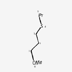 [CH2]OCCCSC([CH2])C